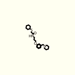 O=C(CSC1CCCCC1)NCCCOc1cccc(CN2CCCCC2)c1